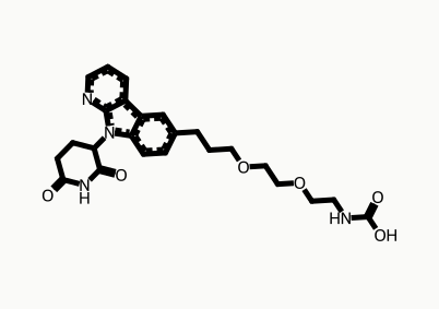 O=C(O)NCCOCCOCCCc1ccc2c(c1)c1cccnc1n2C1CCC(=O)NC1=O